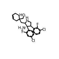 N[C@]1(c2ccc(Cl)cc2F)C(CC2(CO)CC=CCC2)NCC1c1cccc(Cl)c1F